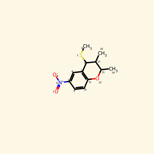 CSC1c2cc([N+](=O)[O-])ccc2OC(C)C1C